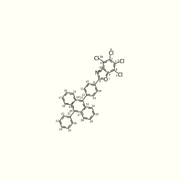 Clc1c(Cl)c(Cl)c2oc(-c3ccc(-c4c5ccccc5c(-c5ccccc5)c5ccccc45)cc3)nc2c1Cl